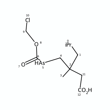 CC(C)CC(C)(C[AsH]C(=O)OCCl)CC(=O)O